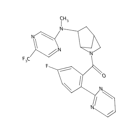 CN(c1cnc(C(F)(F)F)cn1)C1CC2CC1N(C(=O)c1cc(F)ccc1-c1ncccn1)C2